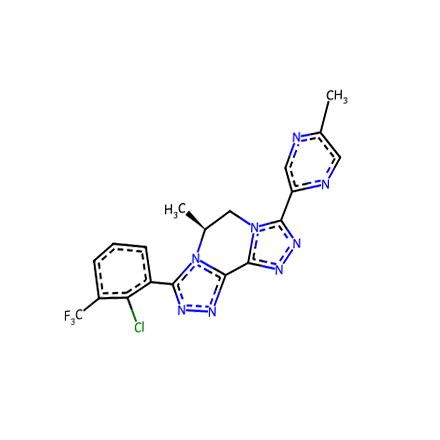 Cc1cnc(-c2nnc3n2C[C@H](C)n2c(-c4cccc(C(F)(F)F)c4Cl)nnc2-3)cn1